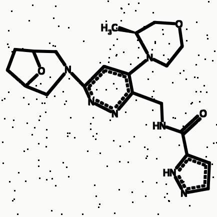 C[C@H]1COCCN1c1cc(N2CC3CCC(C2)O3)nnc1CNC(=O)c1ccn[nH]1